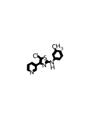 Cc1cccc(Nc2nc(-c3cccnc3)c(Cl)s2)c1